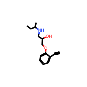 C#Cc1ccccc1OCC(O)CNC(C)CC